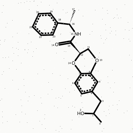 CC(O)Cc1ccc2c(c1)OC[C@H](C(=O)N[C@@H](C)c1ccccc1)O2